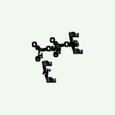 CO[PH](=O)[O-].CO[PH](=O)[O-].C[C](C)(C)[Al+][C](C)(C)C.C[C](C)(C)[Al+][C](C)(C)C